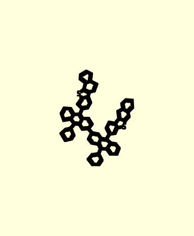 c1ccc(-c2c3ccccc3c(-c3ccc4c(c3)sc3cc5ccccc5cc34)c3cc(-c4ccc5c(-c6ccc7c(c6)sc6c8ccccc8ccc76)c6ccccc6c(-c6ccccc6)c5c4)ccc23)cc1